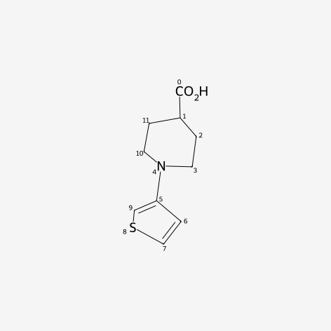 O=C(O)C1CCN(c2ccsc2)CC1